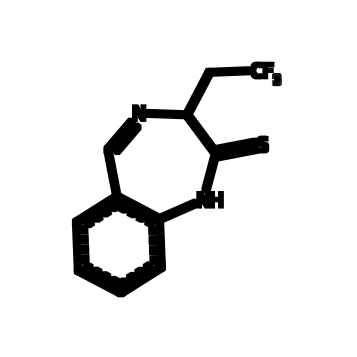 FC(F)(F)CC1N=Cc2ccccc2NC1=S